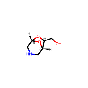 OC[C@@H]1O[C@H]2CNC[C@@H]1O2